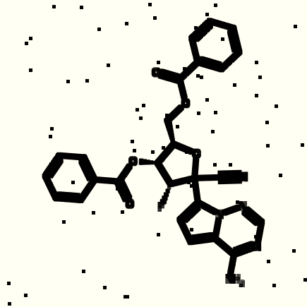 N#CC1(c2ccc3c(N)ncnn23)O[C@H](COC(=O)c2ccccc2)[C@@H](OC(=O)c2ccccc2)[C@H]1F